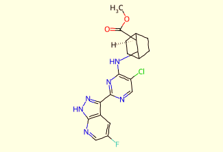 COC(=O)[C@H]1C2CCC(CC2)C1Nc1nc(-c2n[nH]c3ncc(F)cc23)ncc1Cl